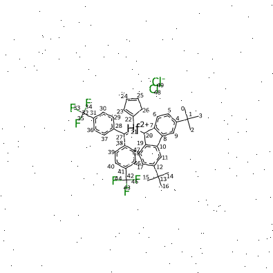 CC(C)(C)c1ccc2c(c1)-c1cc(C(C)(C)C)ccc1[CH]2[Hf+2]([C]1=CC=CC1)=[C](c1ccc(C(F)(F)F)cc1)c1ccc(C(F)(F)F)cc1.[Cl-].[Cl-]